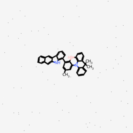 Cc1cc(-c2cccc3c2[nH]c2cc4ccccc4cc23)c2c(c1)N1c3ccccc3C(C)(C)c3cccc(c31)B2